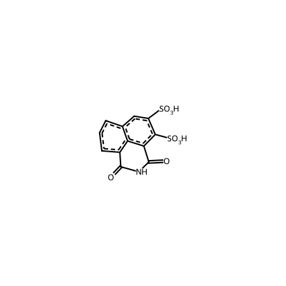 O=C1NC(=O)c2c(S(=O)(=O)O)c(S(=O)(=O)O)cc3cccc1c23